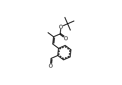 CC(=Cc1ccccc1C=O)C(=O)OC(C)(C)C